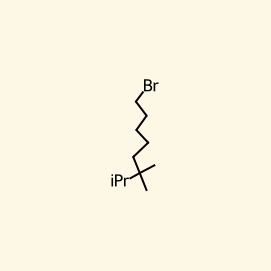 CC(C)C(C)(C)CCCCCBr